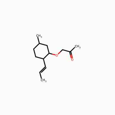 C/C=C/C1CCC(C)CC1OCC(C)=O